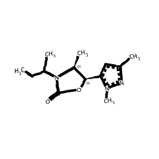 CCC(C)N1C(=O)O[C@H](c2cc(C)nn2C)[C@@H]1C